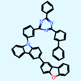 c1ccc(-c2cccc(-c3nc(-c4ccccc4)nc(-c4cccc(-n5c6ccccc6c6cc(-c7ccc8oc9ccccc9c8c7)ccc65)c4)n3)c2)cc1